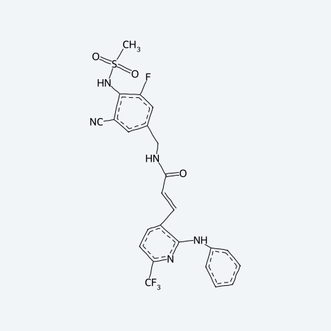 CS(=O)(=O)Nc1c(F)cc(CNC(=O)C=Cc2ccc(C(F)(F)F)nc2Nc2ccccc2)cc1C#N